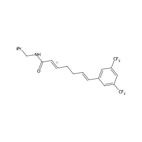 CC(C)CNC(=O)/C=C/CCC=Cc1cc(C(F)(F)F)cc(C(F)(F)F)c1